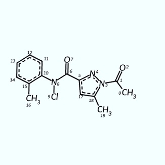 CC(=O)n1nc(C(=O)N(Cl)c2ccccc2C)cc1C